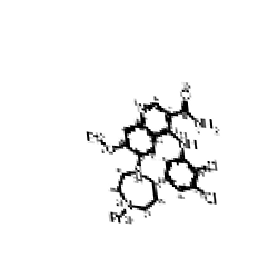 CCOc1cc2ncc(C(N)=O)c(Nc3cccc(Cl)c3Cl)c2cc1N1CCCN(C(C)C)CC1